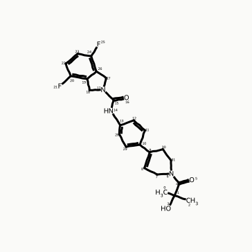 CC(C)(O)C(=O)N1CC=C(c2ccc(NC(=O)N3Cc4c(F)ccc(F)c4C3)cc2)CC1